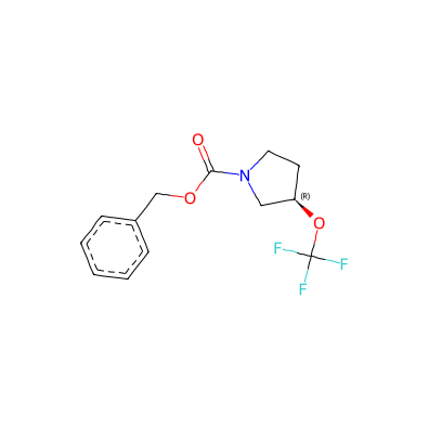 O=C(OCc1ccccc1)N1CC[C@@H](OC(F)(F)F)C1